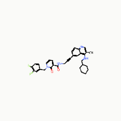 N#Cc1cnc2ccc(C#CCNC(=O)c3cccn(Cc4ccc(F)c(F)c4)c3=O)cc2c1NCC1CCCCC1